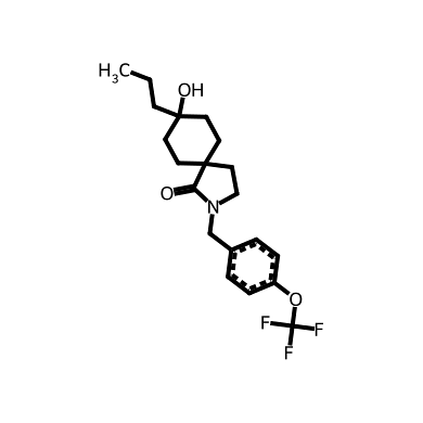 CCCC1(O)CCC2(CCN(Cc3ccc(OC(F)(F)F)cc3)C2=O)CC1